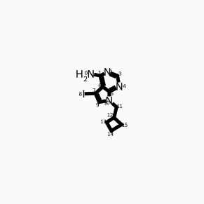 Nc1ncnc2c1c(I)cn2CC1CCC1